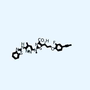 CC#Cc1ccc(OCCCc2sc(N(C)c3cc(C)c(Nc4nc5ccccc5s4)nn3)nc2C(=O)O)c(F)c1